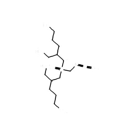 CCCCC(CC)CP(=O)([CH]N=C=O)CC(CC)CCCC